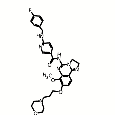 COc1c(OCCCN2CCOCC2)ccc2c1N=C(NC(=O)c1ccc(NCc3ccc(F)cc3)nc1)N1CCN=C21